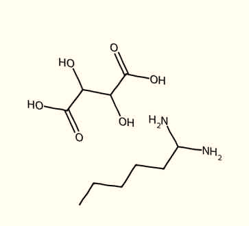 CCCCCC(N)N.O=C(O)C(O)C(O)C(=O)O